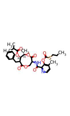 CCCSC(=O)Oc1c(C)ccnc1C(=O)NC1COC(=O)C(Cc2ccccc2)[C@@H](OC(=O)C(C)C)[C@H](C)OC1=O